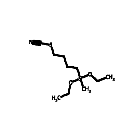 CCO[Si](C)(CCCCSC#N)OCC